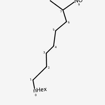 CCCCCCCCCCCCC(C)N=O